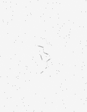 C=C=Nc1ccc(C(=O)C(C)C)cc1